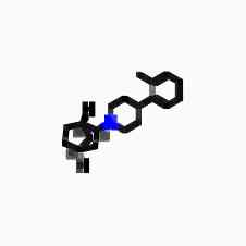 Cc1ccccc1C1CCN([C@H]2C[C@H]3CC[C@H]2C3)CC1